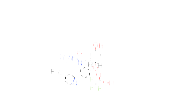 NC1=NC2(CO1)c1cc(-c3cc(C(F)(F)F)ccn3)ccc1O[C@H]1CC[C@H](O)C[C@@H]12.O=C(O)C(F)(F)F